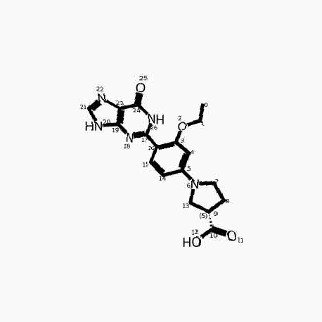 CCOc1cc(N2CC[C@H](C(=O)O)C2)ccc1-c1nc2[nH]cnc2c(=O)[nH]1